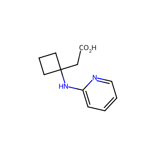 O=C(O)CC1(Nc2ccccn2)CCC1